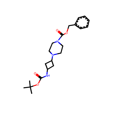 CC(C)(C)OC(=O)NC1CC(N2CCN(C(=O)OCc3ccccc3)CC2)C1